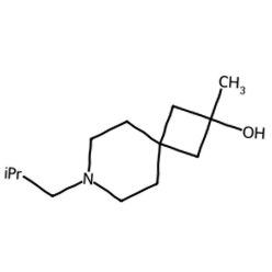 CC(C)CN1CCC2(CC1)CC(C)(O)C2